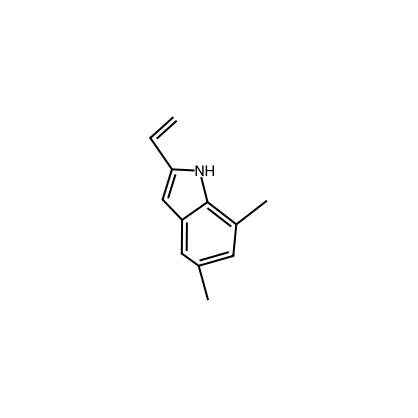 C=Cc1cc2cc(C)cc(C)c2[nH]1